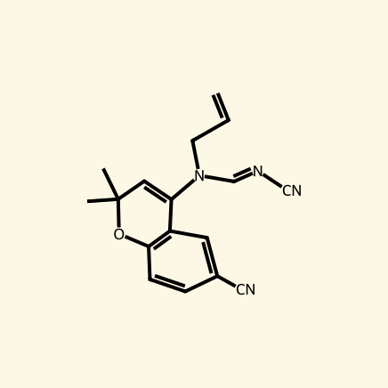 C=CCN(C=NC#N)C1=CC(C)(C)Oc2ccc(C#N)cc21